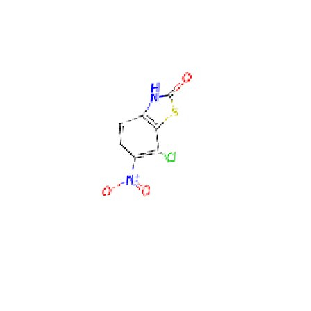 O=c1[nH]c2ccc([N+](=O)[O-])c(Cl)c2s1